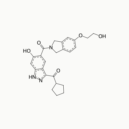 O=C(c1n[nH]c2cc(O)c(C(=O)N3Cc4ccc(OCCO)cc4C3)cc12)C1CCCC1